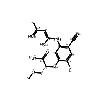 COC[C@@H](Nc1cc(N/C(S)=C/C(C)=N)c(C#N)cc1F)C(N)=O